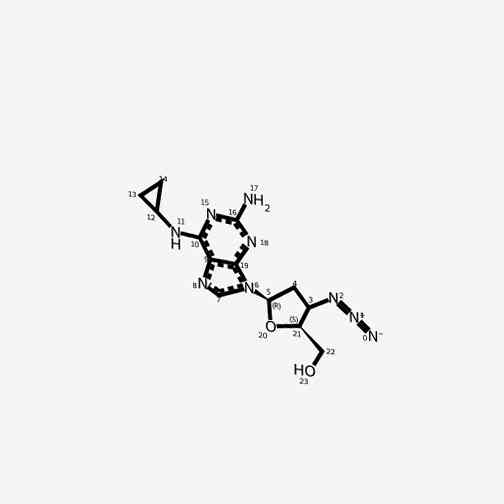 [N-]=[N+]=NC1C[C@H](n2cnc3c(NC4CC4)nc(N)nc32)O[C@@H]1CO